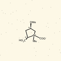 CO[C@@H]1C[C@H](C(=O)O)[N+](C(=O)[O-])(C(C)(C)C)C1